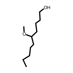 CCCCCC(CCCCO)OC